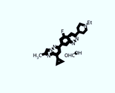 CCN1CCC(c2cc3c(F)cc(-c4cc(C5CC5)c5nc(C)cn5n4)cc3nn2)CC1.O=CO